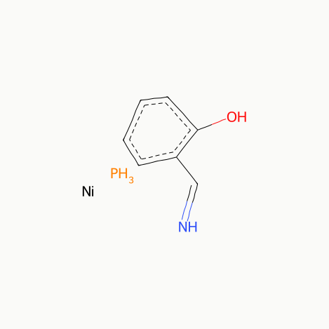 N=Cc1ccccc1O.P.[Ni]